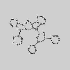 c1ccc(-c2cc(-c3ccccc3)nc(-n3c4ccccc4c4nc5c6ccccc6n(-c6ccccc6)c5cc43)n2)cc1